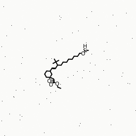 CCOC(=O)CC1(O)CCCC(C=CC(CCCCCCCCO[SiH](C)C)C(C)(C)C)C1